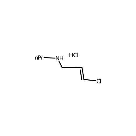 CCCNC/C=C/Cl.Cl